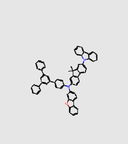 CC1(C)c2cc(N(c3ccc(-c4cc(-c5ccccc5)cc(-c5ccccc5)c4)cc3)c3ccc4c(c3)oc3ccccc34)ccc2-c2ccc(-n3c4ccccc4c4ccccc43)cc21